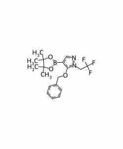 CC1(C)OB(c2cnn(CC(F)(F)F)c2OCc2ccccc2)OC1(C)C